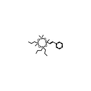 CCC[Si]1(C)O[Si](C)(C)O[Si](C)(C=Cc2ccccc2)O[Si](CCC)(CCC)O1